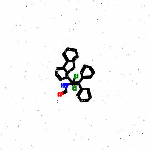 O=C[NH][Zr]([Cl])([Cl])([c]1cccc2c1Cc1ccccc1-2)[SiH](c1ccccc1)c1ccccc1